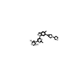 Cc1nc(N2C[C@H]3C[C@@H]2CO3)cc(-n2ncc3cc(C)c(C4C5CN(C6CCOC6)CC54)cc32)n1